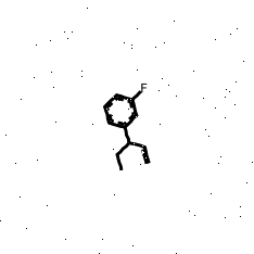 C=CC(CC)c1cccc(F)c1